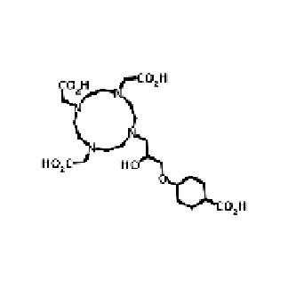 O=C(O)CN1CCN(CC(=O)O)CCN(CC(O)COC2CCC(C(=O)O)CC2)CCN(CC(=O)O)CC1